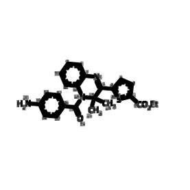 CCOC(=O)c1ccc(C2=Nc3ccccc3N(C(=O)c3ccc(N)cc3)C2(C)C)s1